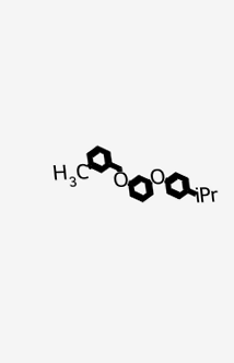 Cc1cccc(COc2cccc(Oc3ccc(C(C)C)cc3)c2)c1